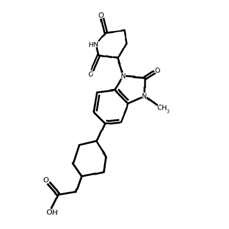 Cn1c(=O)n(C2CCC(=O)NC2=O)c2ccc(C3CCC(CC(=O)O)CC3)cc21